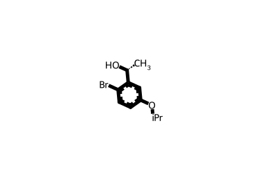 CC(C)Oc1ccc(Br)c([C@@H](C)O)c1